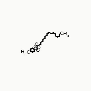 CC/C=C\C/C=C\C/C=C\CCCCCCCC(=O)OS(=O)(=O)c1ccc(C)cc1